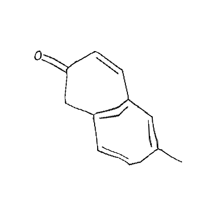 Cc1ccc2c(c1)C=CC(=O)C2